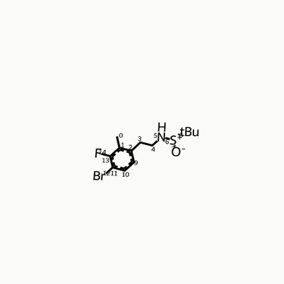 Cc1c(CCN[S+]([O-])C(C)(C)C)ccc(Br)c1F